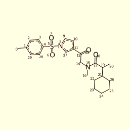 Cc1ccc(S(=O)(=O)n2ccc(C(=O)CN(C)C(=O)C(C)C3CCCCC3)c2)cc1